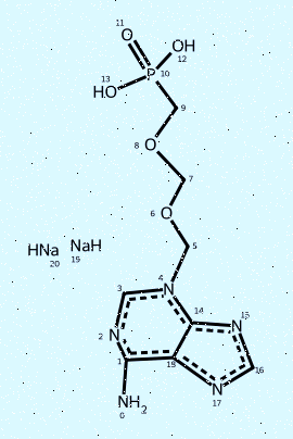 Nc1ncn(COCOCP(=O)(O)O)c2ncnc1-2.[NaH].[NaH]